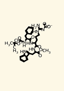 COC(=O)C(Cc1c[nH]c2ccccc12)NC(=O)C(CCCNC(N)=N[N+](=O)[O-])NC(=O)C(Cc1ccccc1)NC(=O)OC(C)(C)C